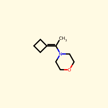 CC(=C1CCC1)N1CCOCC1